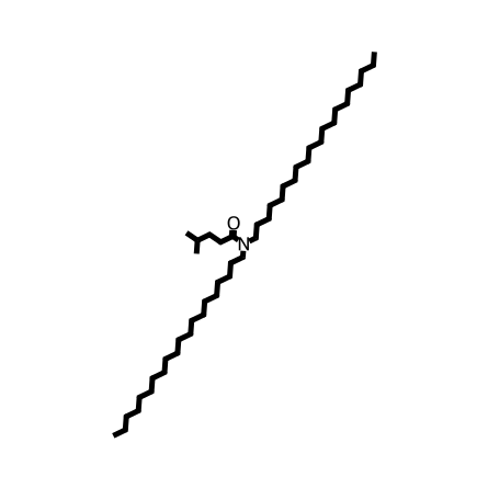 CCCCCCCCCCCCCCCCCCCCN(CCCCCCCCCCCCCCCCCCCC)C(=O)CCC(C)C